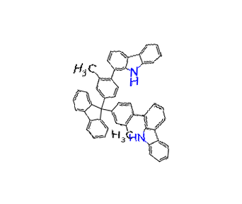 Cc1cc(C2(c3ccc(-c4cccc5c4[nH]c4ccccc45)c(C)c3)c3ccccc3-c3ccccc32)ccc1-c1cccc2c1[nH]c1ccccc12